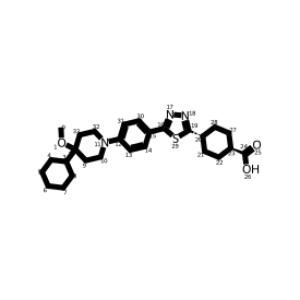 COC1(C2CCCCC2)CCN(c2ccc(-c3nnc([C@H]4CC[C@H](C(=O)O)CC4)s3)cc2)CC1